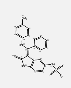 CCS(=O)(=O)Nc1ccc2c(c1)/C(=C(/Nc1ccc([N+](=O)[O-])cc1)c1ccccc1)C(=O)N2